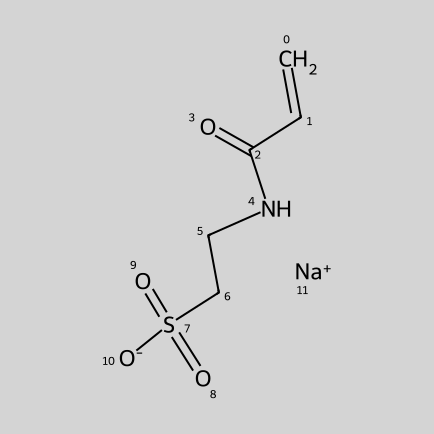 C=CC(=O)NCCS(=O)(=O)[O-].[Na+]